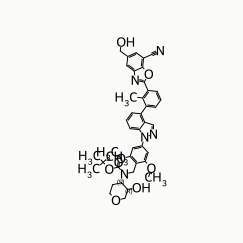 COc1cc(-n2ncc3c(-c4cccc(-c5nc6cc(CO)cc(C#N)c6o5)c4C)cccc32)cc(OC)c1CN(C(=O)OC(C)(C)C)[C@H]1CCOC[C@@H]1O